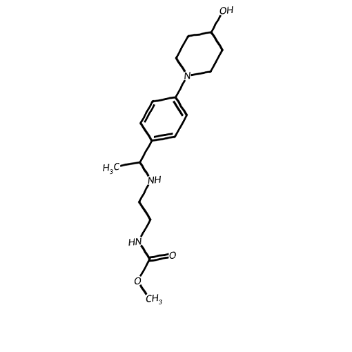 COC(=O)NCCNC(C)c1ccc(N2CCC(O)CC2)cc1